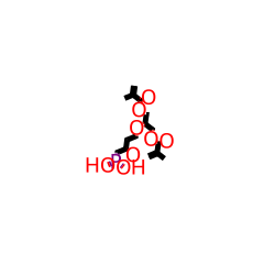 C=C(C)C(=O)OCC(COC(=O)C(=C)C)OCCC(=O)CP(O)O